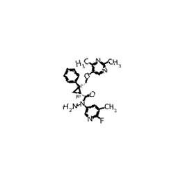 Cc1ncc(OC[C@@]2(c3ccccc3)C[C@H]2C(=O)N(N)c2cnc(F)c(C)c2)c(C)n1